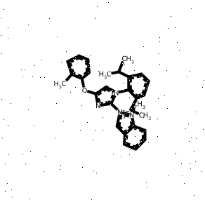 Cc1ccccc1Oc1cn(-c2c(C(C)C)cccc2C(C)C)c(-[n+]2cc3ccccc3n2C)n1